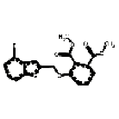 COC(=O)c1cccc(OCc2cc3c(F)cccc3s2)c1C(=O)OC